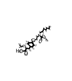 CCCCCCCN(CCOc1ccc(CC(OCC)C(=O)O)cc1)C(=O)OC